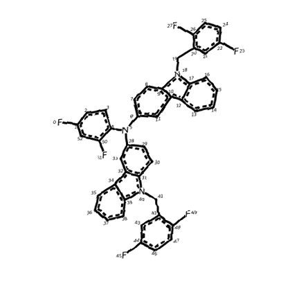 Fc1ccc(N(c2ccc3c(c2)c2ccccc2n3Cc2cc(F)ccc2F)c2ccc3c(c2)c2ccccc2n3Cc2cc(F)ccc2F)c(F)c1